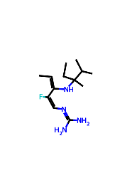 C/C=C(NC(C)(CC)C(C)C)\C(F)=C/N=C(N)N